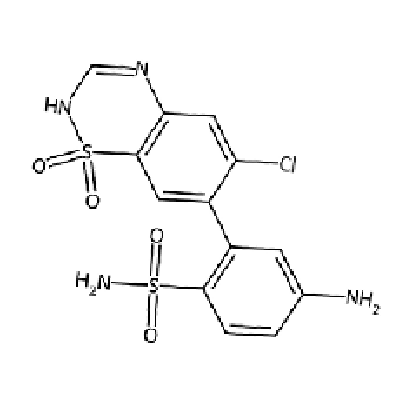 Nc1ccc(S(N)(=O)=O)c(-c2cc3c(cc2Cl)N=CNS3(=O)=O)c1